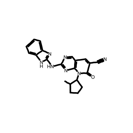 CC1CCCC1n1c(=O)c(C#N)cc2cnc(Nc3nc4ccccc4[nH]3)nc21